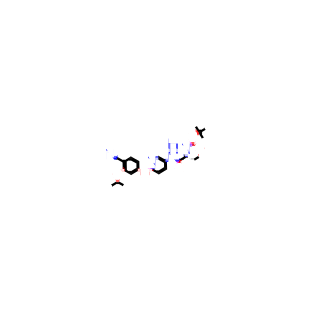 CC[C@@H](NC(=O)OC(C)(C)C)C(=O)Nc1ccc(Oc2ccc(C#N)c(OC(C)C)c2)nc1